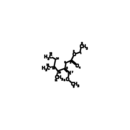 CCOC(=O)CC(=NOC)[C@H](C)[C@H](C)CC